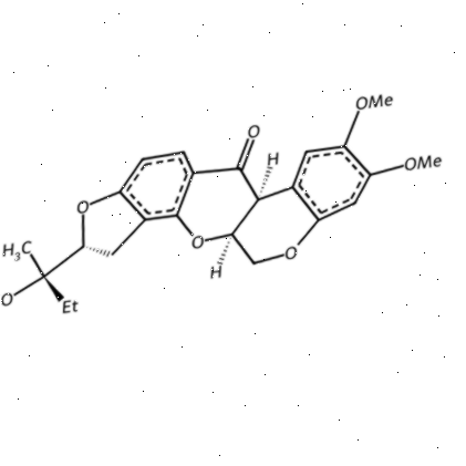 CC[C@](C)(O)[C@H]1Cc2c(ccc3c2O[C@@H]2COc4cc(OC)c(OC)cc4[C@@H]2C3=O)O1